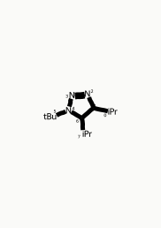 CC(C)C1N=NN(C(C)(C)C)C1C(C)C